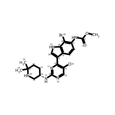 COC(=O)Nc1ccc2c(-c3nc(N[C@H]4CCC(C)(C)NC4)ncc3Cl)c[nH]c2c1Br